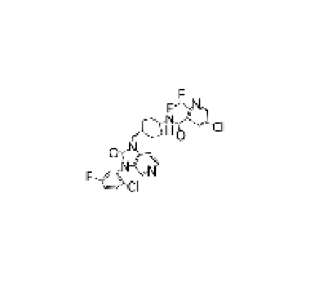 O=C(N[C@H]1CC[C@H](Cn2c(=O)n(-c3cc(F)ccc3Cl)c3cnccc32)CC1)c1cc(Cl)cnc1C(F)F